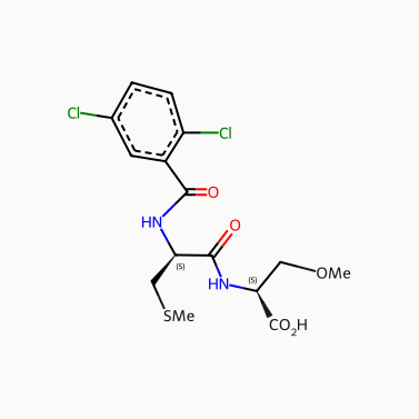 COC[C@H](NC(=O)[C@@H](CSC)NC(=O)c1cc(Cl)ccc1Cl)C(=O)O